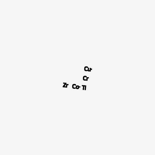 [Co].[Cr].[Cu].[Ti].[Zr]